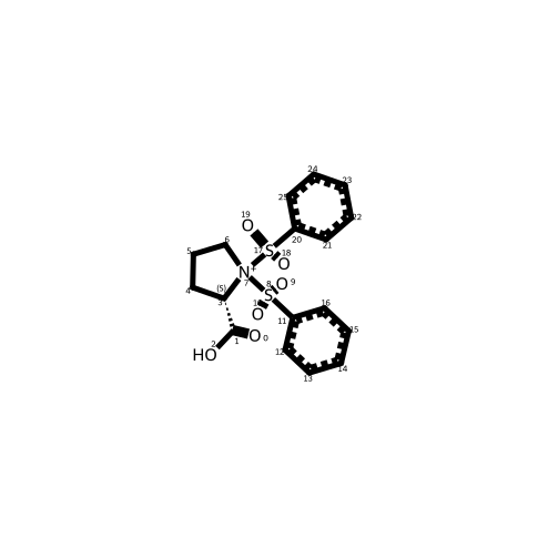 O=C(O)[C@@H]1CCC[N+]1(S(=O)(=O)c1ccccc1)S(=O)(=O)c1ccccc1